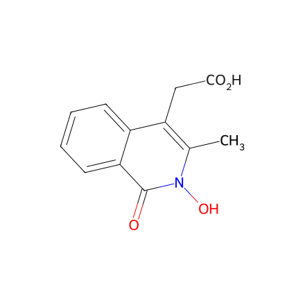 Cc1c(CC(=O)O)c2ccccc2c(=O)n1O